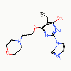 CC(C)c1c(O)nc(-n2ccnc2)nc1OCCN1CCOCC1